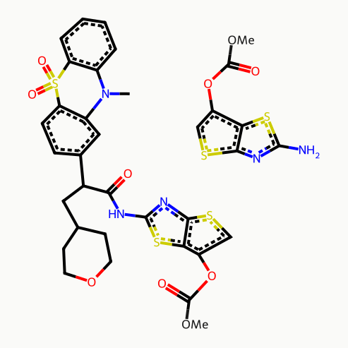 COC(=O)Oc1csc2nc(N)sc12.COC(=O)Oc1csc2nc(NC(=O)C(CC3CCOCC3)c3ccc4c(c3)N(C)c3ccccc3S4(=O)=O)sc12